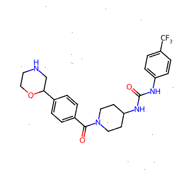 O=C(Nc1ccc(C(F)(F)F)cc1)NC1CCN(C(=O)c2ccc(C3CNCCO3)cc2)CC1